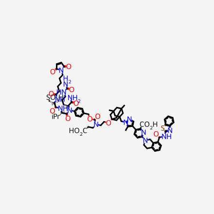 Cc1c(-c2ccc(N3CCc4cccc(C(=O)Nc5nc6ccccc6s5)c4C3)nc2C(=O)O)cnn1CC12CC3(C)CC(C)(C1)CC(OCCN(CCC(=O)O)C(=O)OCc1ccc(N(C(=O)[C@@H](NC(=O)[C@H](CS(=O)(=O)O)NC(=O)CCCCCN4C(=O)C=CC4=O)C(C)C)[C@@H](CCCNC(N)=O)C(N)=O)cc1)(C3)C2